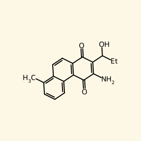 CCC(O)C1=C(N)C(=O)c2c(ccc3c(C)cccc23)C1=O